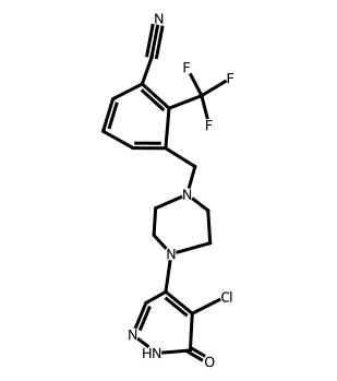 N#Cc1cccc(CN2CCN(c3cn[nH]c(=O)c3Cl)CC2)c1C(F)(F)F